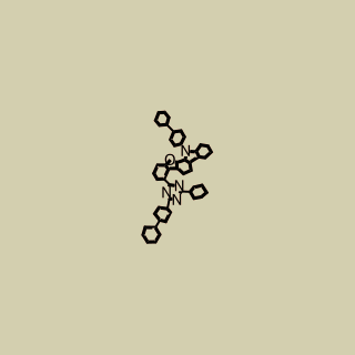 c1ccc(-c2ccc(-c3nc(-c4ccccc4)nc(-c4cccc5oc6c(ccc7c8ccccc8n(-c8ccc(-c9ccccc9)cc8)c76)c45)n3)cc2)cc1